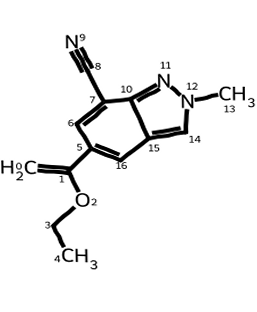 C=C(OCC)c1cc(C#N)c2nn(C)cc2c1